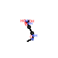 CCCCCN(C)CC(=O)Nc1ccc(C#Cc2ccc(C(=O)N[C@H](C(=O)NO)[C@@H](C)O)cc2)cc1